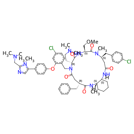 COC[C@@H]1NC(=O)[C@@H](CCN(C)C)N(Cc2ccc(Cl)cc2Oc2ccc(-c3cnc(CN(C)C)n3C)cc2)C(=O)C[C@@H](Cc2ccccc2)C(=O)N(C)[C@H]2CCCC[C@@H]2NC(=O)C[C@H](Cc2ccc(Cl)cc2)N(C)C1=O